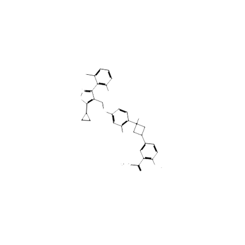 CNC(=O)c1cc(C2CC(O)(c3ccc(OCc4c(-c5c(Cl)cccc5Cl)nsc4C4CC4)cc3Cl)C2)ccc1C=O